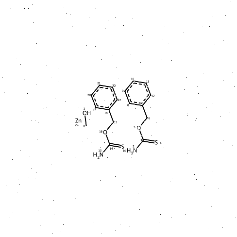 CO.NC(=S)OCc1ccccc1.NC(=S)OCc1ccccc1.[Zn]